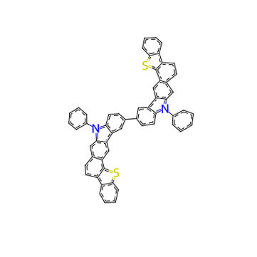 c1ccc(-n2c3ccc(-c4ccc5c(c4)c4cc6c(ccc7c8ccccc8sc67)cc4n5-c4ccccc4)cc3c3cc4c(ccc5c6ccccc6sc45)cc32)cc1